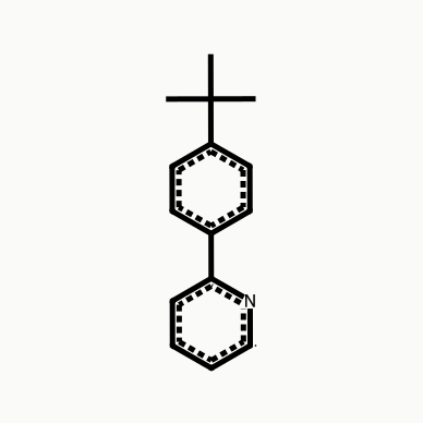 CC(C)(C)c1ccc(-c2ccc[c]n2)cc1